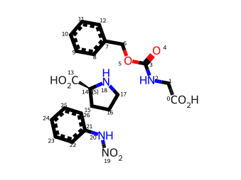 O=C(O)CNC(=O)OCc1ccccc1.O=C(O)[C@@H]1CCCN1.O=[N+]([O-])Nc1ccccc1